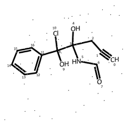 C#CCC(O)(NC=O)C(O)(Cl)c1ccccc1